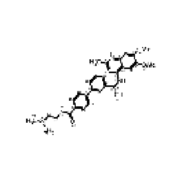 COc1cc2nc(C)nc(N[C@H](C)c3cccc(-c4ccc(C(=O)NCCN(C)C)cc4)c3)c2cc1OC